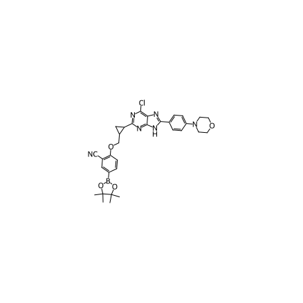 CC1(C)OB(c2ccc(OCC3CC3c3nc(Cl)c4nc(-c5ccc(N6CCOCC6)cc5)[nH]c4n3)c(C#N)c2)OC1(C)C